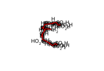 NCCCCC(NC(=O)C(CCCCNC(=O)c1cn(CCCCC(NC(=O)CCCCCCC(=O)NCCCC[C@H](NC(=O)NC(CCC(=O)O)C(=O)O)C(=O)O)C(=O)O)nn1)NC(=O)c1nn[nH]c1CCCCC(NC(=O)CCCCCCC(=O)NCCCC[C@H](NC(=O)NC(CCC(=O)O)C(=O)O)C(=O)O)C(=O)O)C(=O)O